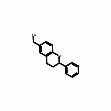 N#CCc1ccc2c(c1)CCC(c1ccccc1)N2